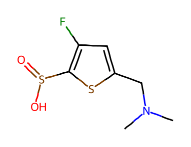 CN(C)Cc1cc(F)c(S(=O)O)s1